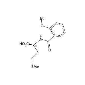 CCOc1ccccc1C(=O)N[C@@H](CCSC)C(=O)O